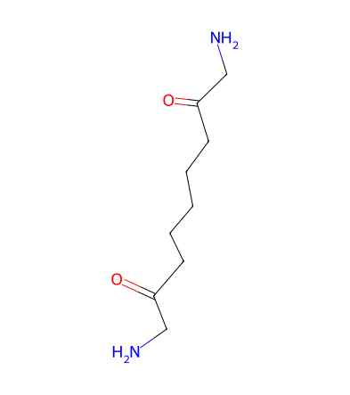 NCC(=O)CCCCCC(=O)CN